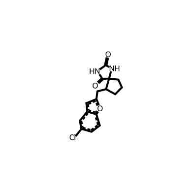 O=C1NC(=O)C2(CCCC2Cc2cc3cc(Cl)ccc3o2)N1